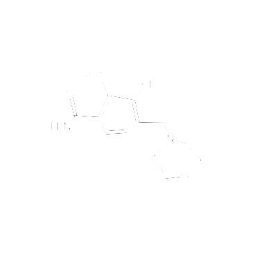 Cc1c(CN2CCOCC2)ccc(C(N)=O)c1C